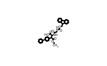 CCOC(=O)C(c1ccc(-c2ccccc2)cc1)C(NC(=O)CNC(=O)OCC1c2ccccc2-c2ccccc21)C(=O)O